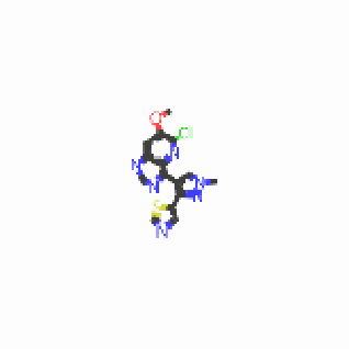 COc1cc2ncnc(-c3cn(C)nc3-c3cncs3)c2nc1Cl